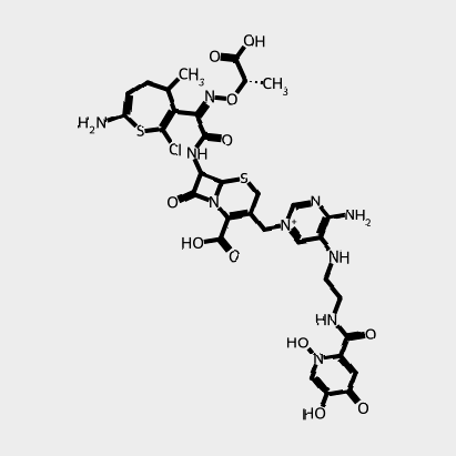 CC1CC=C(N)SC(Cl)=C1/C(=N/O[C@@H](C)C(=O)O)C(=O)NC1C(=O)N2C(C(=O)O)=C(C[n+]3cnc(N)c(NCCNC(=O)c4cc(=O)c(O)cn4O)c3)CSC12